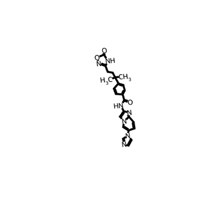 CC(C)(CCc1noc(=O)[nH]1)c1ccc(C(=O)Nc2cn3cc(-n4ccnc4)ccc3n2)cc1